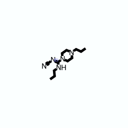 CCCN/C(=N\C#N)N1CCN(CCC)CC1